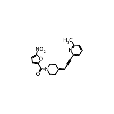 Cc1cccc(C#CC=C2CCN(C(=O)c3ccc([N+](=O)[O-])o3)CC2)n1